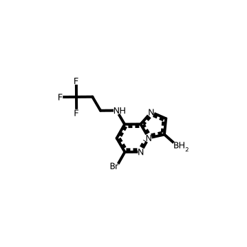 Bc1cnc2c(NCCC(F)(F)F)cc(Br)nn12